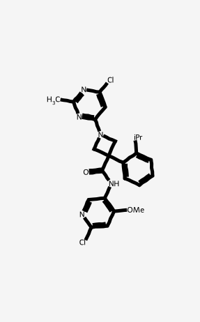 COc1cc(Cl)ncc1NC(=O)C1(c2ccccc2C(C)C)CN(c2cc(Cl)nc(C)n2)C1